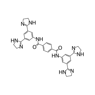 O=C(Nc1cc(C2=NCCN2)cc(C2=NCCN2)c1)c1ccc(C(=O)Nc2cc(C3=NCCN3)cc(C3=NCCN3)c2)cc1